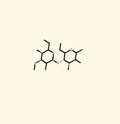 CCC1OC(C)C(C)[C@@H](C)[C@@H]1O[C@@H]1OC(CC)[C@H](C)[C@H](OC)C1C